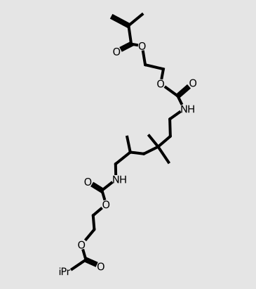 C=C(C)C(=O)OCCOC(=O)NCCC(C)(C)CC(C)CNC(=O)OCCOC(=O)C(C)C